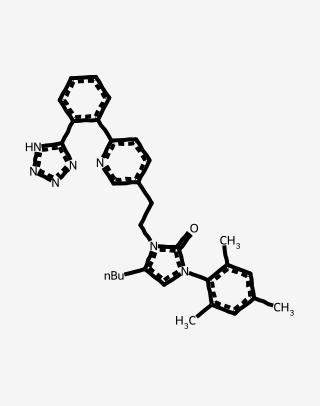 CCCCc1cn(-c2c(C)cc(C)cc2C)c(=O)n1CCc1ccc(-c2ccccc2-c2nnn[nH]2)nc1